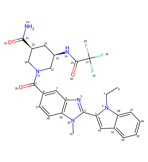 CCn1c(-c2nc3cc(C(=O)N4C[C@H](NC(=O)C(F)(F)F)C[C@H](C(N)=O)C4)ccc3n2C)cc2ccccc21